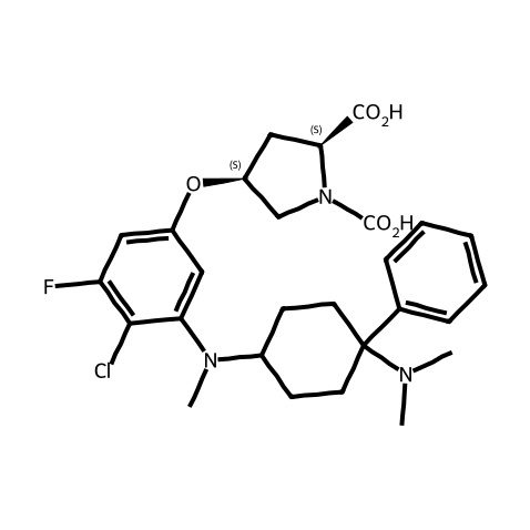 CN(c1cc(O[C@H]2C[C@@H](C(=O)O)N(C(=O)O)C2)cc(F)c1Cl)C1CCC(c2ccccc2)(N(C)C)CC1